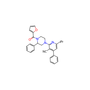 CC(C)c1cc(-c2ccccc2)c(C#N)c(N2CCN(C(=O)c3ccco3)C(c3ccccc3)C2)n1